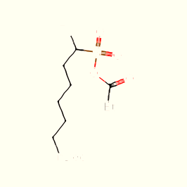 CCCCCCCCCCCCCCCC(CC)S(=O)(=O)OC(=O)CC